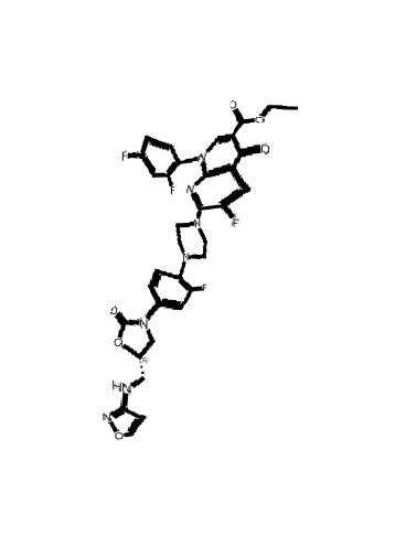 CCOC(=O)c1cn(-c2ccc(F)cc2F)c2nc(N3CCN(c4ccc(N5C[C@H](CNc6ccon6)OC5=O)cc4F)CC3)c(F)cc2c1=O